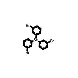 Brc1ccc[c]([Sb]([c]2cccc(Br)c2)[c]2cccc(Br)c2)c1